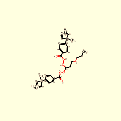 [CH2]CCOCC[C](OOC(=O)c1ccc([Si](C)(C=C)C=C)cc1)OOC(=O)c1ccc([Si](C)(C=C)C=C)cc1